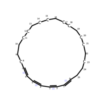 [C]1=C/C=C\C=C/C=C\CCCCCCCCCCCCCCCCCC\1